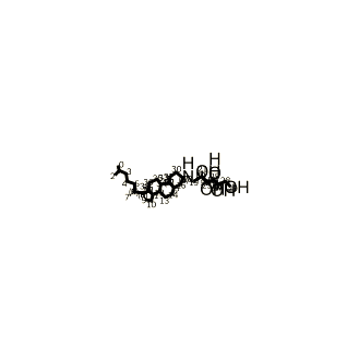 CC(C)CCC[C@@H](C)[C@H]1CCC2C3CCC4C[C@@H](NC[C@@H](O)[C@@H](O)[C@@H](O)[C@H](O)CO)CC[C@]4(C)C3CC[C@@]21C